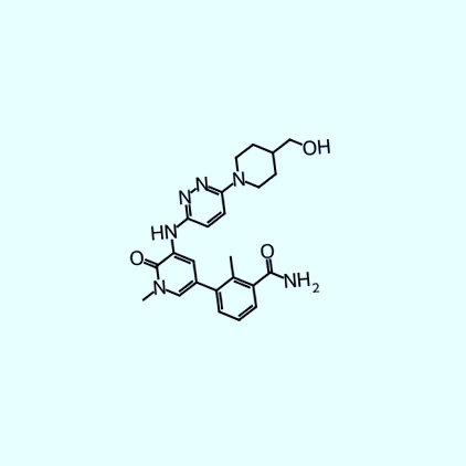 Cc1c(C(N)=O)cccc1-c1cc(Nc2ccc(N3CCC(CO)CC3)nn2)c(=O)n(C)c1